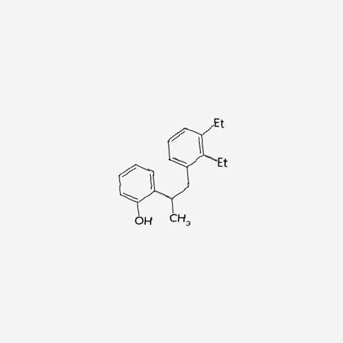 CCc1cccc(CC(C)c2ccccc2O)c1CC